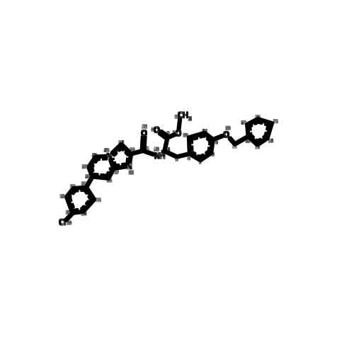 COC(=O)C(Cc1ccc(OCc2ccccc2)cc1)NC(=O)c1cn2ccc(-c3ccc(Cl)cc3)cc2n1